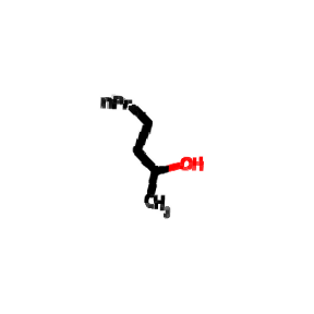 [CH2]CCCC[C](C)O